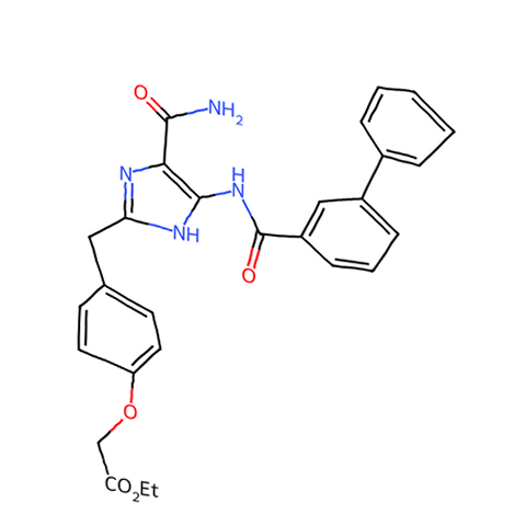 CCOC(=O)COc1ccc(Cc2nc(C(N)=O)c(NC(=O)c3cccc(-c4ccccc4)c3)[nH]2)cc1